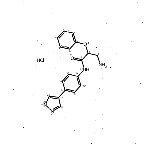 Cl.NCC(Oc1ccccc1)C(=O)Nc1ccc(-c2cn[nH]c2)cc1